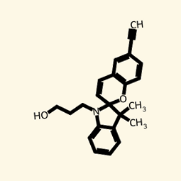 C#Cc1ccc2c(c1)C=CC1(O2)N(CCCO)c2ccccc2C1(C)C